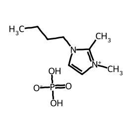 CCCCn1cc[n+](C)c1C.O=P([O-])(O)O